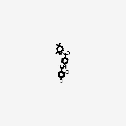 CC1(C)CC2CC(C)(CN2C(=O)c2ccc(NC(=O)c3ccc(Cl)cc3Cl)cc2)C1